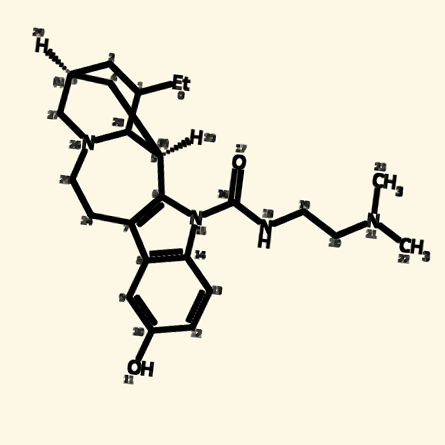 CCC1C[C@H]2C[C@H]3c4c(c5cc(O)ccc5n4C(=O)NCCN(C)C)CCN(C2)C13